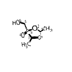 CCOP(=O)(CO)C(C)=O